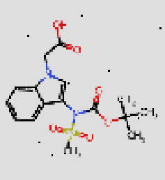 CC(C)(C)OC(=O)N(c1cn(CC(=O)O)c2ccccc12)S(C)(=O)=O